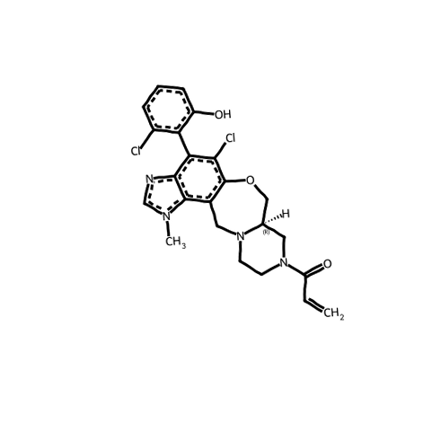 C=CC(=O)N1CCN2Cc3c(c(Cl)c(-c4c(O)cccc4Cl)c4ncn(C)c34)OC[C@H]2C1